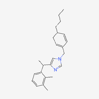 CCCCC1C=CC(Cn2cnc(C(C)c3cccc(C)c3C)c2)=CC1